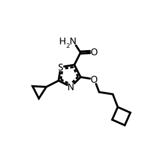 NC(=O)c1sc(C2CC2)nc1OCCC1CCC1